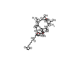 CC[C@H](C)[C@@H]1NC(=O)CNC(=O)[C@H]2Cc3c([nH]c4c(N5CCN(CCNC(=O)CCCCCN6C(=O)C=CC6=O)CC5)c(O)ccc34)SC[C@H](NC(=O)CNC1=O)C(=O)N[C@@H](CC(N)=O)C(=O)N1C[C@H](O)C[C@H]1C(=O)N[C@@H]([C@@H](C)[C@@H](O)CO)C(=O)N2